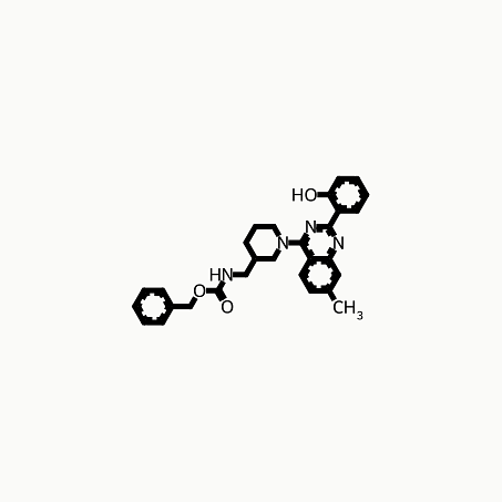 Cc1ccc2c(N3CCCC(CNC(=O)OCc4ccccc4)C3)nc(-c3ccccc3O)nc2c1